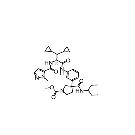 CCC(CC)NC(=O)C1(c2cccc(NC(=O)[C@@H](NC(=O)c3ccnn3C)C(C3CC3)C3CC3)c2)CCN(C(=O)OC)C1